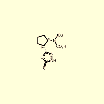 CC(C)(C)N(C(=O)O)[C@H]1CCC[C@H]1c1n[nH]c(=S)o1